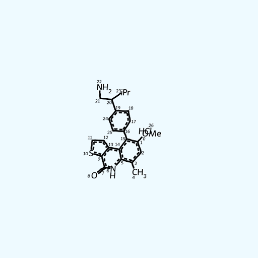 COc1cc(C)c2[nH]c(=O)c3sccc3c2c1-c1ccc(C(CN)C(C)C)cc1.Cl